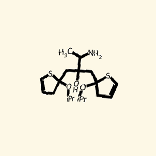 CC(C)OC1(CC(O)(CC2(OC(C)C)CC=CS2)C(C)N)CC=CS1